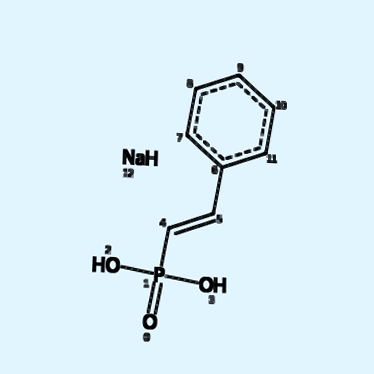 O=P(O)(O)C=Cc1ccccc1.[NaH]